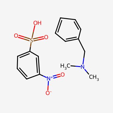 CN(C)Cc1ccccc1.O=[N+]([O-])c1cccc(S(=O)(=O)O)c1